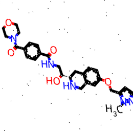 Cn1nccc1COc1ccc2c(c1)CN[C@H](C(O)CNC(=O)c1ccc(C(=O)N3CCOCC3)cc1)C2